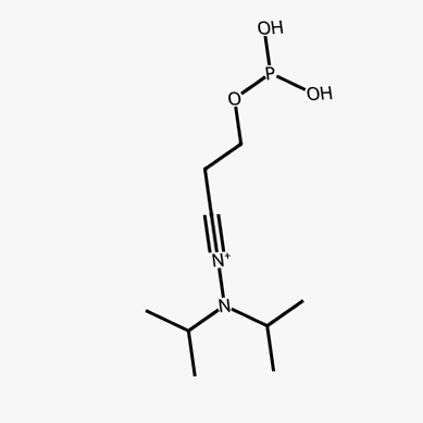 CC(C)N([N+]#CCCOP(O)O)C(C)C